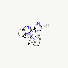 Cc1cnc(-c2nc3ccccc3n2[C@H]2C[C@H]3CCC[C@@H](C2)N3[C@@H]2C[C@@H]3CCCC[C@@H](C3)C2)cn1